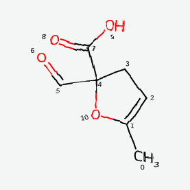 CC1=CCC(C=O)(C(=O)O)O1